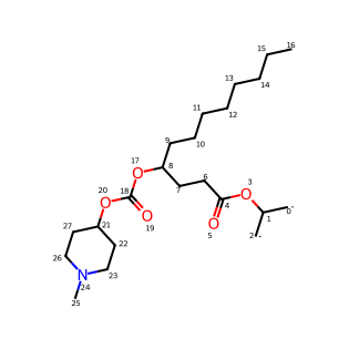 [CH2]C([CH2])OC(=O)CCC(CCCCCCCC)OC(=O)OC1CCN(C)CC1